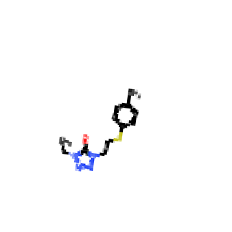 CCn1nnn(/C=C/Sc2ccc(C)cc2)c1=O